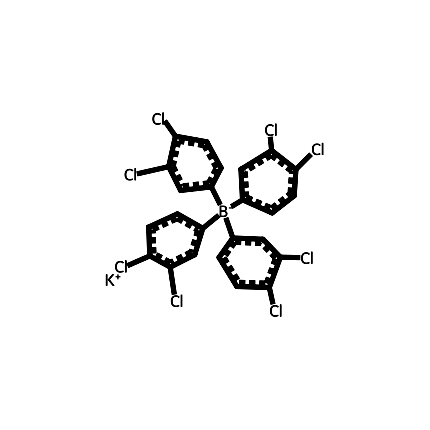 Clc1ccc([B-](c2ccc(Cl)c(Cl)c2)(c2ccc(Cl)c(Cl)c2)c2ccc(Cl)c(Cl)c2)cc1Cl.[K+]